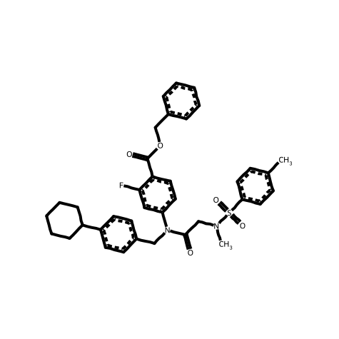 Cc1ccc(S(=O)(=O)N(C)CC(=O)N(Cc2ccc(C3CCCCC3)cc2)c2ccc(C(=O)OCc3ccccc3)c(F)c2)cc1